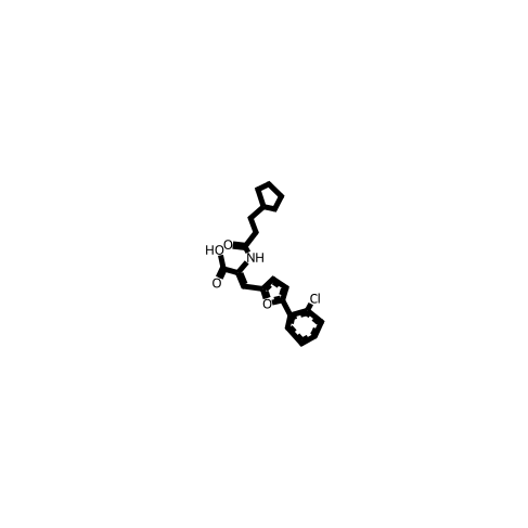 O=C(CCC1CCCC1)NC(=Cc1ccc(-c2ccccc2Cl)o1)C(=O)O